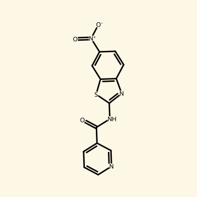 O=C(Nc1nc2ccc([N+](=O)[O-])cc2s1)c1cccnc1